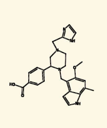 COc1cc(C)c2[nH]ccc2c1CN1CCN(Cc2ncc[nH]2)CC1c1ccc(C(=O)O)cc1